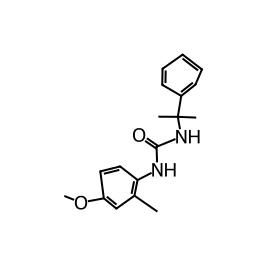 COc1ccc(NC(=O)NC(C)(C)c2ccccc2)c(C)c1